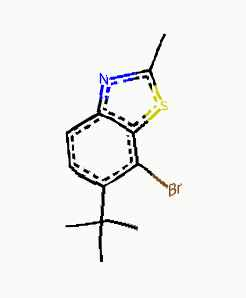 Cc1nc2ccc(C(C)(C)C)c(Br)c2s1